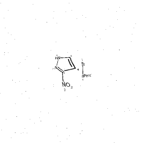 CCCCCBr.O=[N+]([O-])c1cc[nH]n1